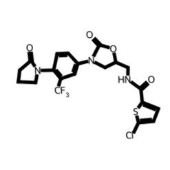 O=C(NCC1CN(c2ccc(N3CCCC3=O)c(C(F)(F)F)c2)C(=O)O1)c1ccc(Cl)s1